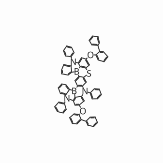 c1ccc(-c2ccccc2Oc2cc3c4c(c2)N(c2ccccc2)c2ccccc2B4c2cc4c(cc2S3)N(c2ccccc2)c2cc(Oc3ccccc3-c3ccccc3)cc3c2B4c2ccccc2N3c2ccccc2)cc1